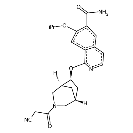 CC(C)Oc1cc2c(O[C@H]3C[C@H]4C[C@H]3CN(C(=O)CC#N)C4)nccc2cc1C(N)=O